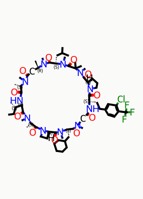 CC[C@H](C)[C@@H]1NC(=O)[C@H](C)N(C)C(=O)C[C@@H](C)N(C)C(=O)[C@H](CC(C)C)N(C)C(=O)C(C)(C)N(C)C(=O)[C@@H]2CCCN2C(=O)[C@H](CCc2ccc(C(F)(F)F)c(Cl)c2)NC(=O)CN(C)C(=O)[C@H](CC2CCCCC2)N(C)C(=O)[C@@H]2CCN2C(=O)[C@H](C)N(C)C1=O